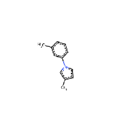 Cc1cccc(-n2ccc(C(F)(F)F)c2)c1